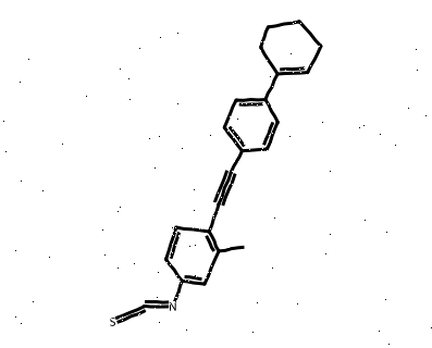 Cc1cc(N=C=S)ccc1C#Cc1ccc(C2=CCCCC2)cc1